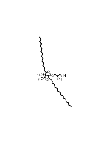 CCCCCCCCCCCCCCCC(=O)C(SOCC(O)CO)[C@](N)(C(=O)O)C(=O)CCCCCCCCCCCCCCC